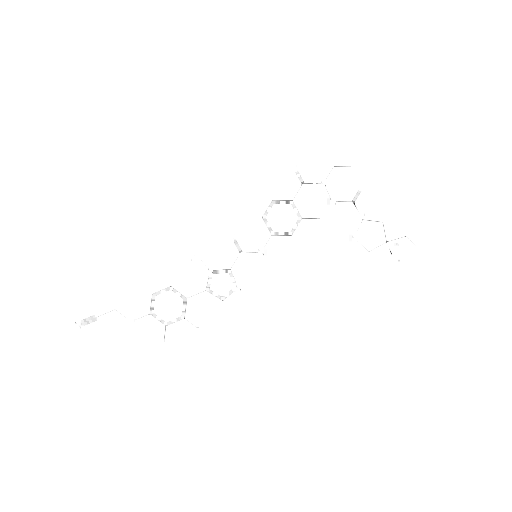 CCN(NC(=O)[C@H]1C[C@](O)(CC)CN1)C(=O)c1ccc(NC(=O)c2ncc(-c3ccc(OCC#N)c(F)c3F)n2C)cc1Cl